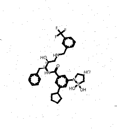 Cl.O=C(N[C@@H](Cc1ccccc1)[C@@H](O)CNCc1cccc(C(F)(F)F)c1)c1cc(C2CCCC2)cc(N2CCCS2(O)O)c1